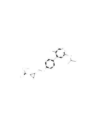 CC(C)Oc1cc(-c2ccc(OC[C@@H]3C[C@H]3C(=O)O)cc2)c(F)cn1